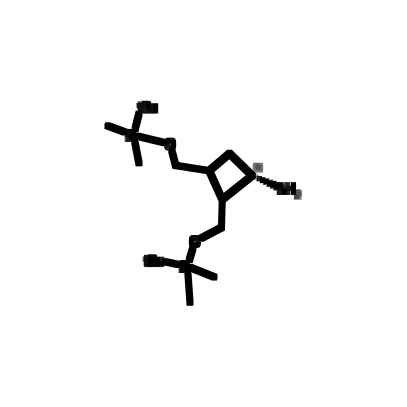 CC(C)(C)[Si](C)(C)OCC1C[C@H](N)C1CO[Si](C)(C)C(C)(C)C